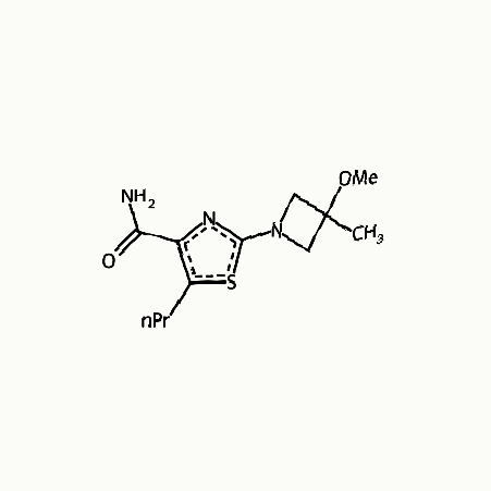 CCCc1sc(N2CC(C)(OC)C2)nc1C(N)=O